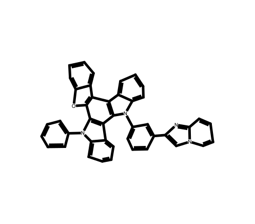 c1ccc(-n2c3ccccc3c3c2c2oc4ccccc4c2c2c4ccccc4n(-c4cccc(-c5cn6ccccc6n5)c4)c23)cc1